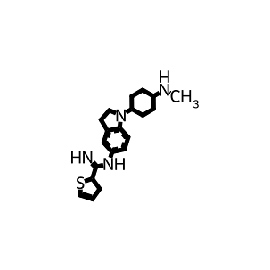 CNC1CCC(N2CCc3cc(NC(=N)C4CC=CS4)ccc32)CC1